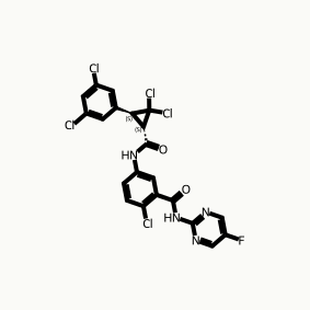 O=C(Nc1ncc(F)cn1)c1cc(NC(=O)[C@@H]2[C@@H](c3cc(Cl)cc(Cl)c3)C2(Cl)Cl)ccc1Cl